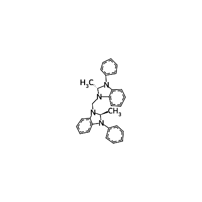 C[C@@H]1N(CN2c3ccccc3N(c3ccccc3)[C@H]2C)c2ccccc2N1c1ccccc1